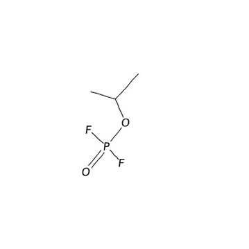 CC(C)OP(=O)(F)F